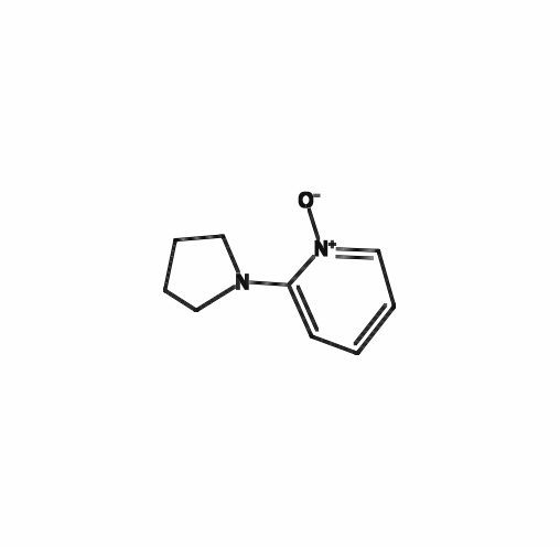 [O-][n+]1ccccc1N1CCCC1